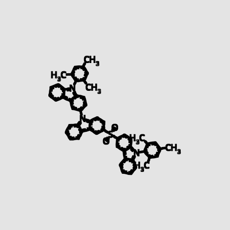 Cc1cc(C)c(-n2c3ccccc3c3cc(-n4c5ccccc5c5cc(S(=O)(=O)c6ccc7c(c6)c6ccccc6n7-c6c(C)cc(C)cc6C)ccc54)ccc32)c(C)c1